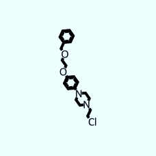 ClCCN1CCN(c2ccc(OCCOCc3ccccc3)cc2)CC1